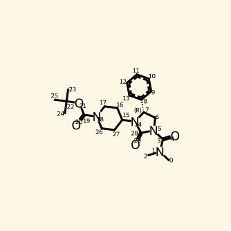 CN(C)C(=O)N1C[C@@H](c2ccccc2)N(C2CCN(C(=O)OC(C)(C)C)CC2)C1=O